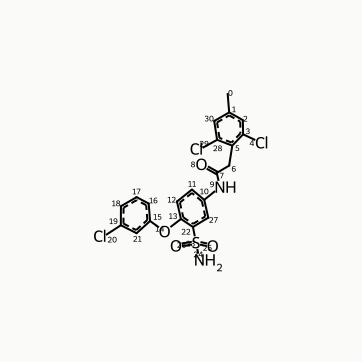 Cc1cc(Cl)c(CC(=O)Nc2ccc(Oc3cccc(Cl)c3)c(S(N)(=O)=O)c2)c(Cl)c1